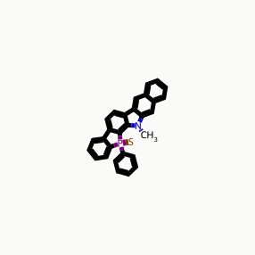 Cn1c2cc3ccccc3cc2c2ccc3c(c21)P(=S)(c1ccccc1)c1ccccc1-3